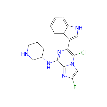 Fc1cn2c(Cl)c(-c3c[nH]c4ccccc34)nc(N[C@H]3CCCNC3)c2n1